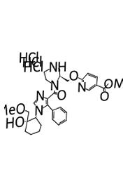 COC[C@]1(O)CCCC[C@H]1n1cnc(C(=O)N2CCNC[C@H]2COc2ccc(C(=O)OC)cn2)c1-c1ccccc1.Cl.Cl.Cl